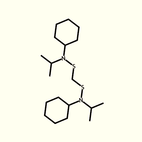 CC(C)N(SCSN(C(C)C)C1CCCCC1)C1CCCCC1